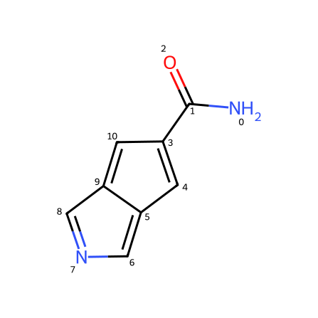 NC(=O)C1=CC2=CN=CC2=C1